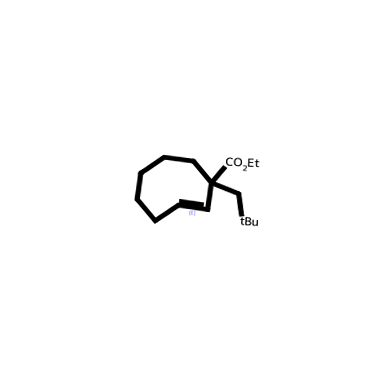 CCOC(=O)C1(CC(C)(C)C)/C=C/CCCCC1